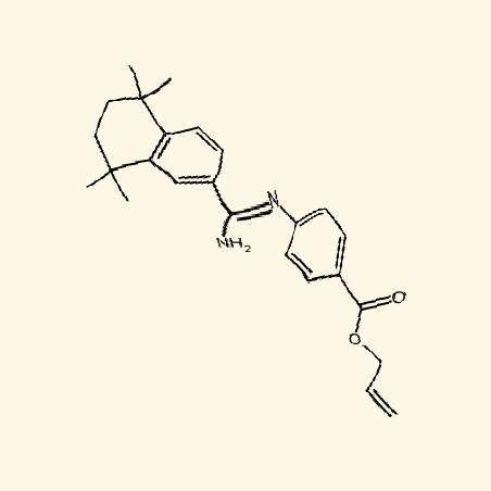 C=CCOC(=O)c1ccc(N=C(N)c2ccc3c(c2)C(C)(C)CCC3(C)C)cc1